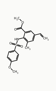 C=Cc1cc(C)c(NS(=O)(=O)c2ccc(OC)cc2)c(C(=O)OC)c1